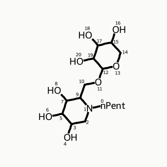 CCCCCN1CC(O)C(O)C(O)C1COC1OCC(O)C(O)C1O